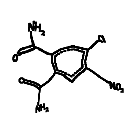 NC(=O)c1cc(Cl)c([N+](=O)[O-])cc1C(N)=O